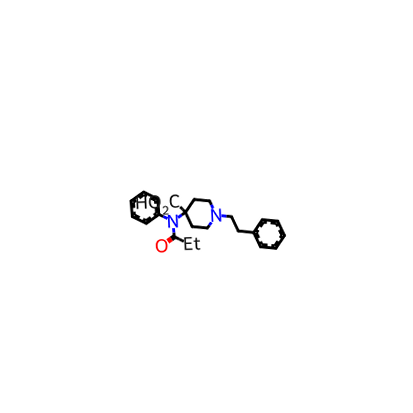 CCC(=O)N(c1ccccc1)C1(C(=O)O)CCN(CCc2ccccc2)CC1